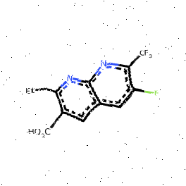 CCc1nc2nc(C(F)(F)F)c(F)cc2cc1C(=O)O